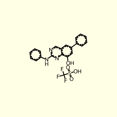 O=S(=O)(O)C(F)(F)F.Oc1cc(-c2ccccc2)cc2cnc(Nc3ccccc3)nc12